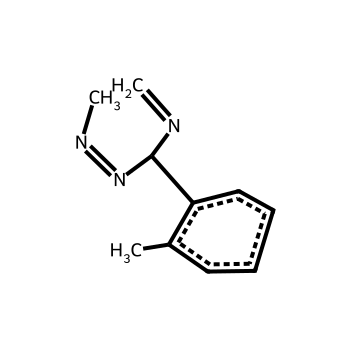 C=NC(/N=N\C)c1ccccc1C